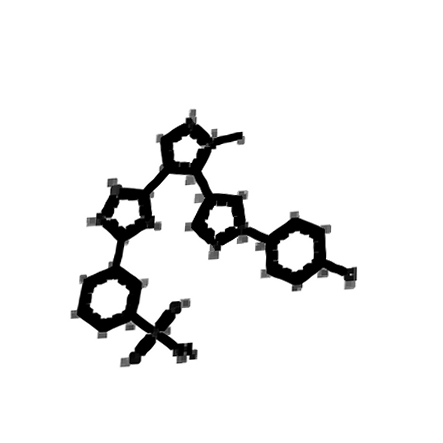 Cn1ncc(-c2nc(-c3cccc(S(N)(=O)=O)c3)no2)c1-c1cnn(-c2ccc(Cl)cc2)c1